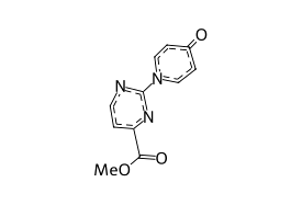 COC(=O)c1ccnc(-n2ccc(=O)cc2)n1